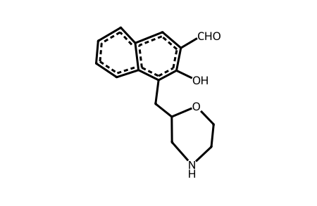 O=Cc1cc2ccccc2c(CC2CNCCO2)c1O